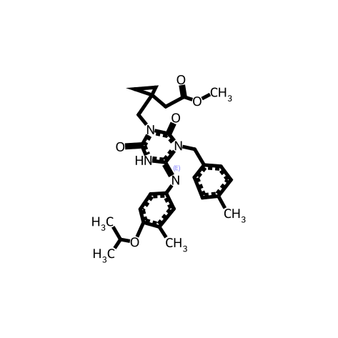 COC(=O)CC1(Cn2c(=O)[nH]/c(=N\c3ccc(OC(C)C)c(C)c3)n(Cc3ccc(C)cc3)c2=O)CC1